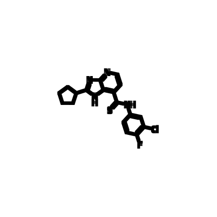 Fc1ccc(NC(=S)c2ccnc3nc(C4CCCC4)[nH]c23)cc1Cl